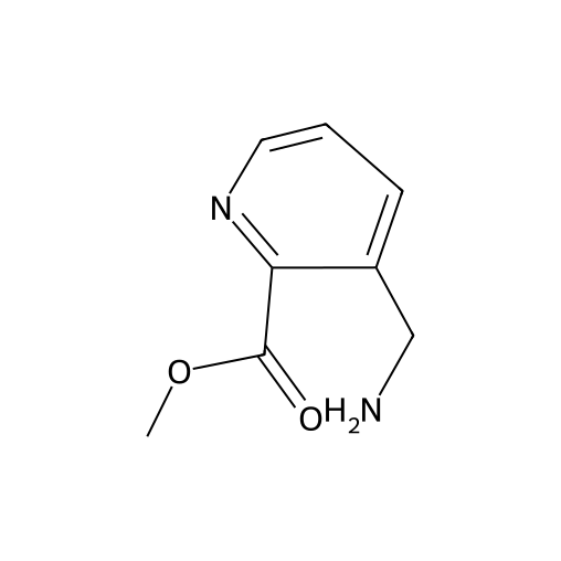 COC(=O)c1ncccc1CN